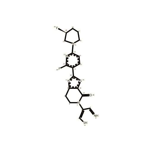 N=C/C(=C\S)N1CCc2nc(-c3ccc(N4CCC[C@H](F)C4)nc3F)sc2C1=O